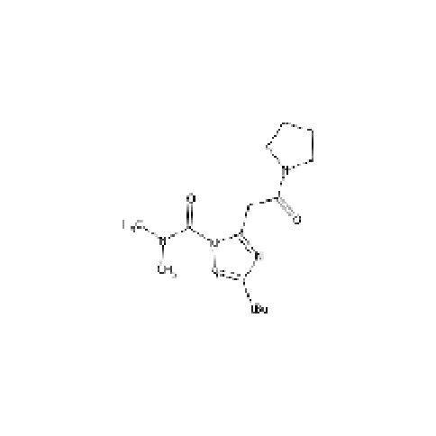 CN(C)C(=O)n1nc(C(C)(C)C)nc1CC(=O)N1CCCC1